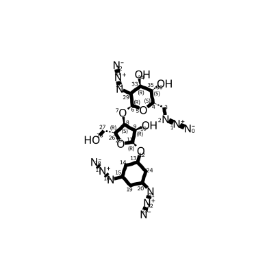 [N-]=[N+]=NC[C@@H]1O[C@H](O[C@H]2[C@@H](O)[C@H](OC3CC(N=[N+]=[N-])CC(N=[N+]=[N-])C3)O[C@@H]2CO)C(N=[N+]=[N-])[C@@H](O)[C@@H]1O